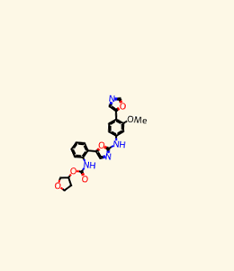 COc1cc(Nc2ncc(-c3ccccc3NC(=O)OC3CCOC3)o2)ccc1-c1cnco1